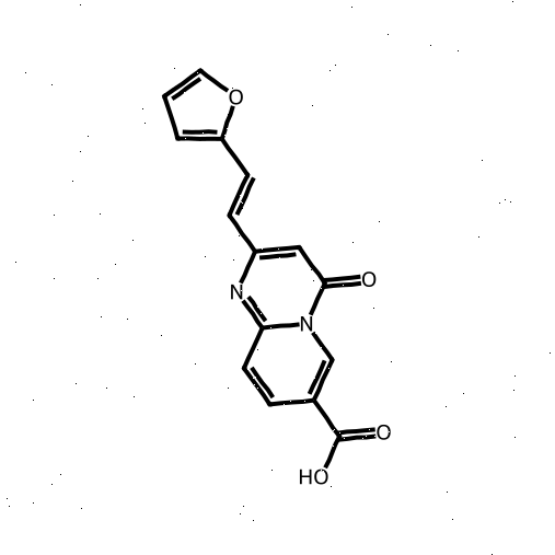 O=C(O)c1ccc2nc(/C=C/c3ccco3)cc(=O)n2c1